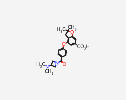 CN(C)C1CN(C(=O)c2ccc(Oc3cc(C(=O)O)cc4c3CC(C)(C)O4)cc2)C1